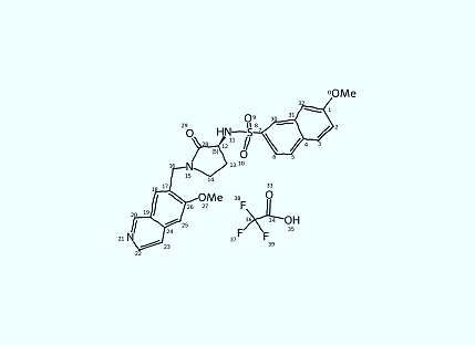 COc1ccc2ccc(S(=O)(=O)N[C@H]3CCN(Cc4cc5cnccc5cc4OC)C3=O)cc2c1.O=C(O)C(F)(F)F